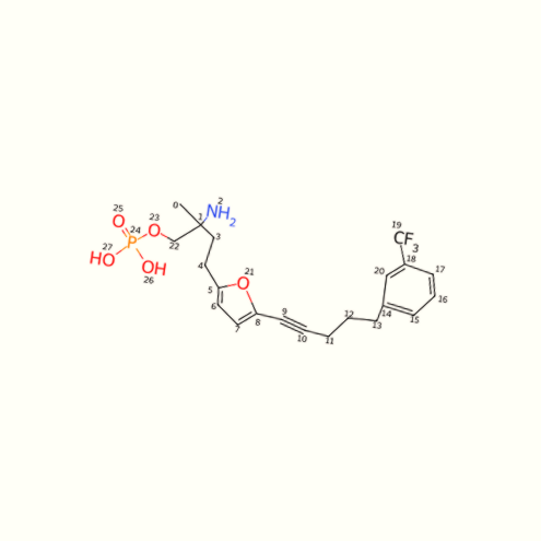 CC(N)(CCc1ccc(C#CCCCc2cccc(C(F)(F)F)c2)o1)COP(=O)(O)O